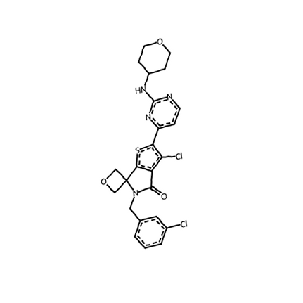 O=C1c2c(sc(-c3ccnc(NC4CCOCC4)n3)c2Cl)C2(COC2)N1Cc1cccc(Cl)c1